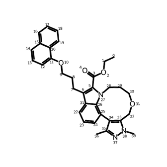 CCOC(=O)c1c(CCCOc2cccc3ccccc23)c2cccc3c2n1CCCOCc1c-3c(C)nn1C